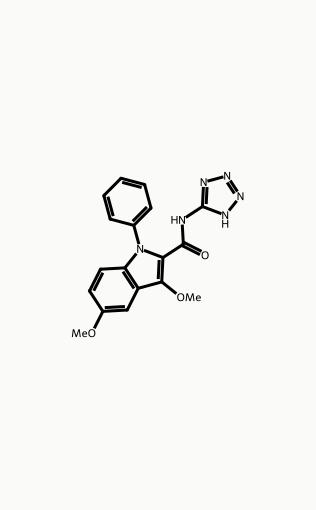 COc1ccc2c(c1)c(OC)c(C(=O)Nc1nnn[nH]1)n2-c1ccccc1